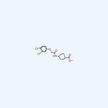 COC(=O)C1CCC(NC(=O)COc2ccc(Cl)c(Cl)c2)CC1